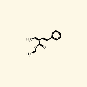 C=COC(=O)C(C=Cc1ccccc1)=CC